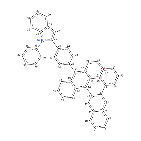 c1ccc(-c2cc3ccccc3cc2-c2c3ccccc3c(-c3ccc(-c4cc5ccccc5n4-c4ccccc4)cc3)c3ccccc23)cc1